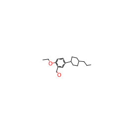 CCCC1CCC(c2ccc(OCC)c(C=O)c2)CC1